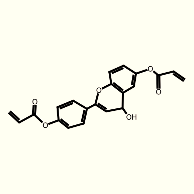 C=CC(=O)Oc1ccc(C2=CC(O)c3cc(OC(=O)C=C)ccc3O2)cc1